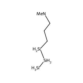 CNCCC[SiH2][SiH2][SiH3]